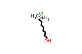 C[Si](C)(Cl)CCCCCCCCO